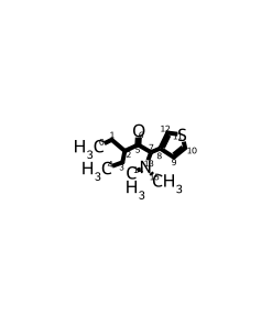 CCC(CC)C(=O)C(c1ccsc1)N(C)C